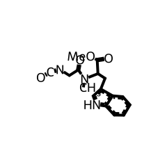 COC(=O)C(Cc1c[nH]c2ccccc12)N(C)C(=O)CN=C=O